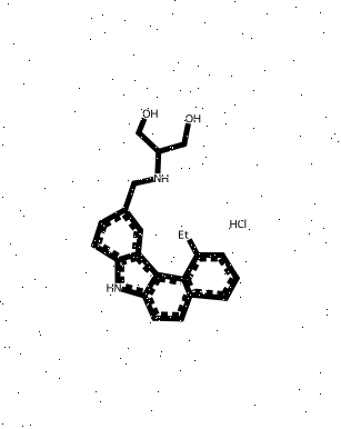 CCc1cccc2ccc3[nH]c4ccc(CNC(CO)CO)cc4c3c12.Cl